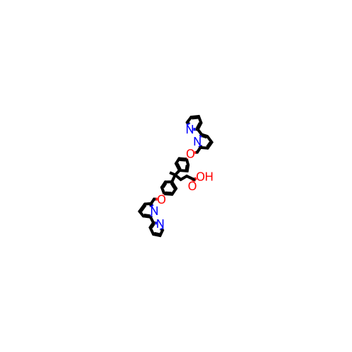 CC(CCC(=O)O)(c1ccc(OCc2cccc(-c3ccccn3)n2)cc1)c1ccc(OCc2cccc(-c3ccccn3)n2)cc1